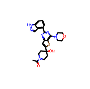 CC(=O)N1CCC(O)(c2cc3nc(-c4cccc5[nH]ncc45)nc(N4CCOCC4)c3s2)CC1